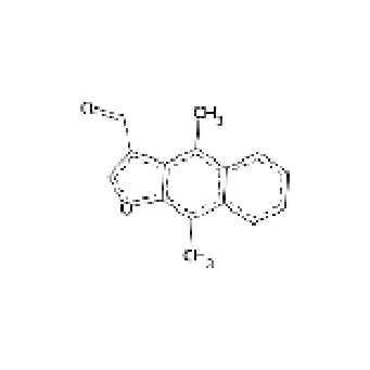 Cc1c2ccccc2c(C)c2c(C=O)coc12